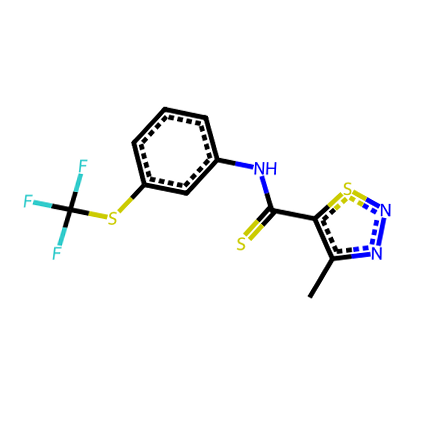 Cc1nnsc1C(=S)Nc1cccc(SC(F)(F)F)c1